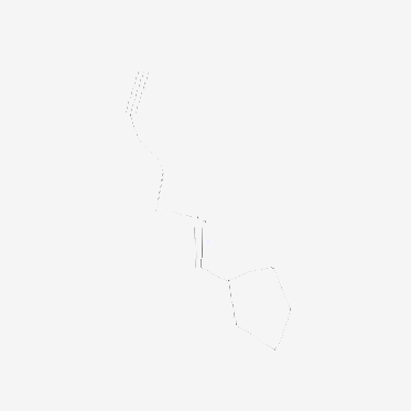 C#CCCO/N=[C]/C1CCCC1